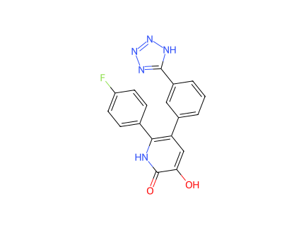 O=c1[nH]c(-c2ccc(F)cc2)c(-c2cccc(-c3nnn[nH]3)c2)cc1O